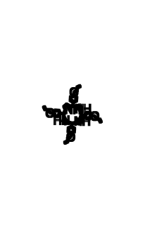 C=CCOc1ccc(/C2=C3\C=CC(N3)/C(c3ccc(OCC=C)cc3)=c3/cc/c([nH]3)=C(\c3ccc(OCC=C)cc3)C3C=C/C(=C(\c4ccc(OCC=C)cc4)c4ccc2[nH]4)N3)cc1